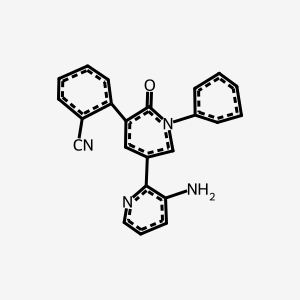 N#Cc1ccccc1-c1cc(-c2ncccc2N)cn(-c2ccccc2)c1=O